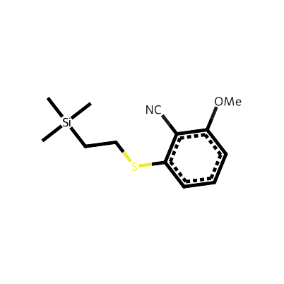 COc1cccc(SCC[Si](C)(C)C)c1C#N